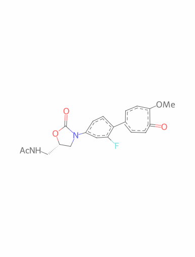 COc1ccc(-c2ccc(N3C[C@H](CNC(C)=O)OC3=O)cc2F)ccc1=O